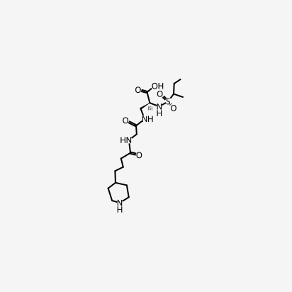 CCC(C)S(=O)(=O)N[C@@H](CNC(=O)CNC(=O)CCCC1CCNCC1)C(=O)O